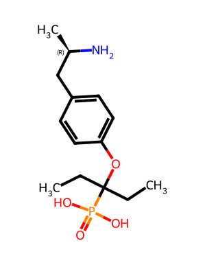 CCC(CC)(Oc1ccc(C[C@@H](C)N)cc1)P(=O)(O)O